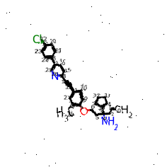 C=CCC(N)(CCOc1ccc(C#Cc2ccc(-c3ccc(Cl)cc3)cn2)cc1C)C1CCCC1